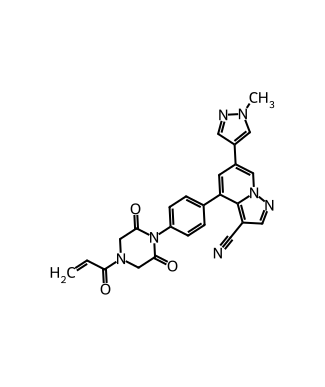 C=CC(=O)N1CC(=O)N(c2ccc(-c3cc(-c4cnn(C)c4)cn4ncc(C#N)c34)cc2)C(=O)C1